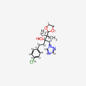 CC(C)(C1OCCO1)C(O)(CCc1ccc(Cl)cc1)Cn1cncn1